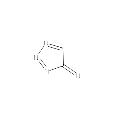 N=C1C=NN=N1